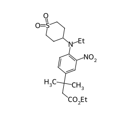 CCOC(=O)CC(C)(C)c1ccc(N(CC)C2CCS(=O)(=O)CC2)c([N+](=O)[O-])c1